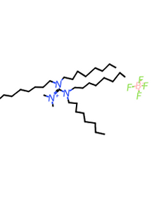 CCCCCCCCN(CCCCCCCC)C(N(CCCCCCCC)CCCCCCCC)=[N+](C)C.F[B-](F)(F)F